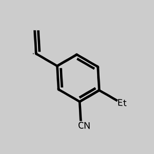 C=[C]c1ccc(CC)c(C#N)c1